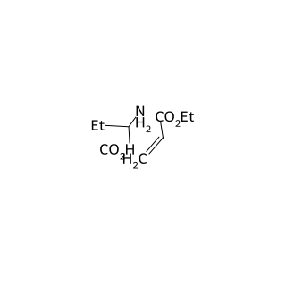 C=CC(=O)OCC.CCC(N)C(=O)O